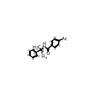 CC(=O)c1ccc(C(=O)NC(C)(C)c2ccccc2)cc1